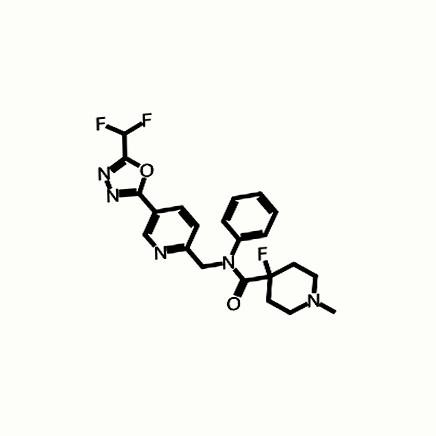 CN1CCC(F)(C(=O)N(Cc2ccc(-c3nnc(C(F)F)o3)cn2)c2ccccc2)CC1